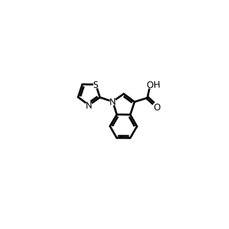 O=C(O)c1cn(-c2nccs2)c2ccccc12